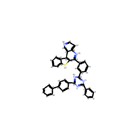 c1ccc(-c2ccc(-c3nc(-c4ccccc4)nc(-c4cccc(-c5nc6ccncc6c6c5sc5ccccc56)c4)n3)cc2)cc1